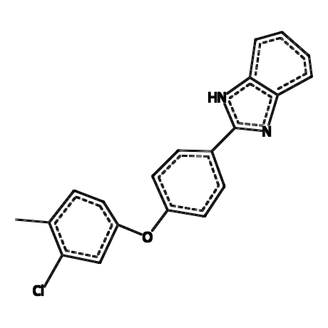 Cc1ccc(Oc2ccc(-c3nc4ccccc4[nH]3)cc2)cc1Cl